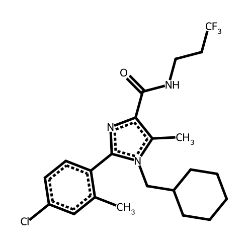 Cc1cc(Cl)ccc1-c1nc(C(=O)NCCC(F)(F)F)c(C)n1CC1CCCCC1